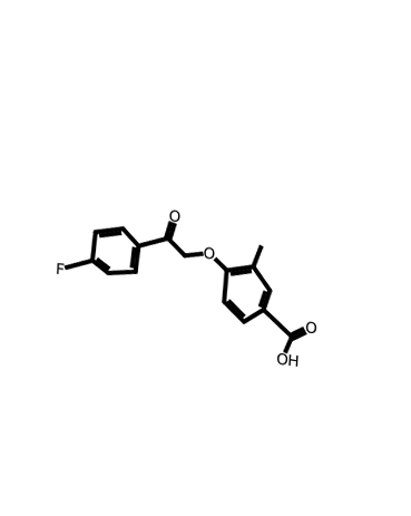 Cc1cc(C(=O)O)ccc1OCC(=O)c1ccc(F)cc1